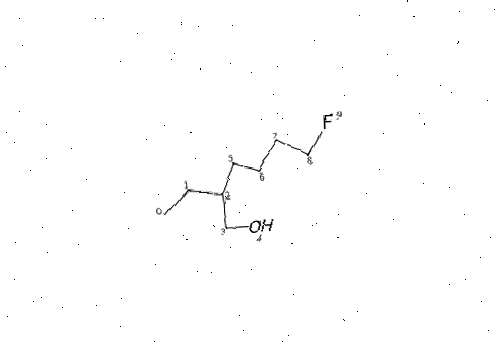 CCC(CO)CCCCF